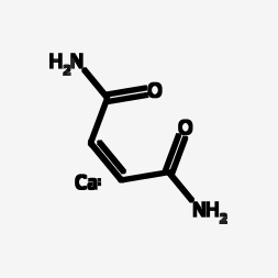 NC(=O)/C=C\C(N)=O.[Ca]